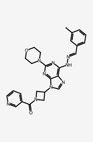 Cc1cccc(C=NNc2nc(N3CCOCC3)nc3c2ncn3C2CN(C(=O)c3cccnc3)C2)c1